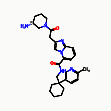 Cc1ccc(C2(CNC(=O)c3cccc4nc(CC(=O)N5CCC[C@@H](N)C5)cn34)CCCCC2)cn1